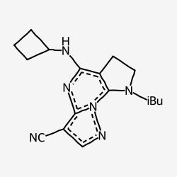 CCC(C)N1CCc2c(NC3CCC3)nc3c(C#N)cnn3c21